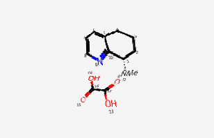 CN[C@H]1CCCc2cccnc21.O=C(O)C(=O)O